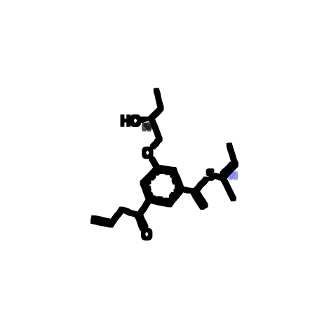 C=CCC(=O)c1cc(OC[C@@H](O)CC)cc(C(=C)S/C(C)=C\C)c1